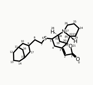 O=C1C=C2CC(SCCC3CC4CCCC(C4)C3)[C@@H]3C[C@@]2(O1)[C@H]1CCCCN31